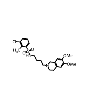 COc1cc2c(cc1OC)CN(CCCCNS(=O)(=O)c1cccc(Cl)c1C)CC2